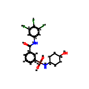 O=C(Nc1cc(F)c(F)c(F)c1)c1cccc(S(=O)(=O)NC2CCC(O)CC2)c1